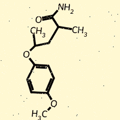 COc1ccc(OC(C)CC(C)C(N)=O)cc1